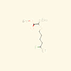 CCCCC(SCCCCC(F)CC)C(=O)OC(C)C